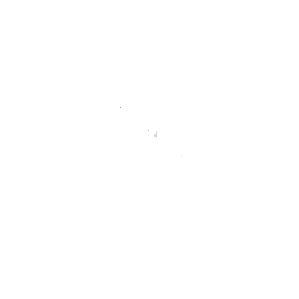 CCS[Si](C)(C)C(C)(C)C